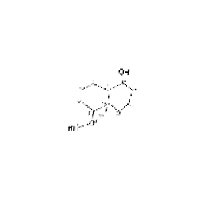 CC(C)(C)OC1CCCC2C(O)CCCC12C